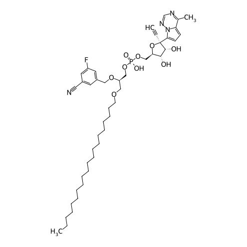 C#C[C@@]1(c2ccc3c(C)ncnn23)O[C@H](COP(=O)(O)OC[C@@H](COCCCCCCCCCCCCCCCCCCCC)OCc2cc(F)cc(C#N)c2)[C@@H](O)[C@H]1O